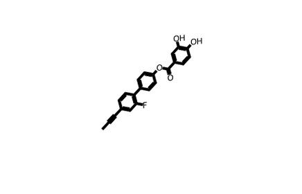 CC#Cc1ccc(-c2ccc(OC(=O)c3ccc(O)c(O)c3)cc2)c(F)c1